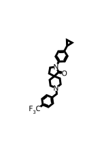 O=C1N(c2ccc(C3CC3)cc2)CCC12CCN(Cc1ccc(C(F)(F)F)cc1)CC2